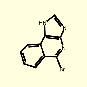 Brc1nc2nc[nH]c2c2ccccc12